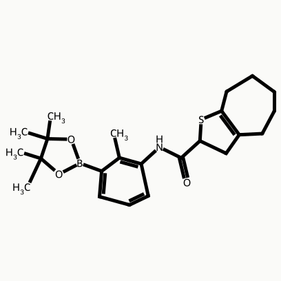 Cc1c(NC(=O)C2CC3=C(CCCCC3)S2)cccc1B1OC(C)(C)C(C)(C)O1